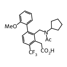 COc1ccccc1-c1ccc(C(F)(F)F)c(CC(=O)O)c1CN(C(C)=O)C1CCCC1